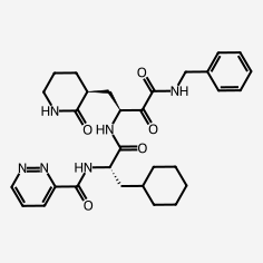 O=C(NCc1ccccc1)C(=O)[C@H](C[C@@H]1CCCNC1=O)NC(=O)[C@H](CC1CCCCC1)NC(=O)c1cccnn1